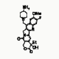 CCC1(O)C(=O)OCc2c1cc1n(c2=O)Cc2c-1nc1cc(F)c(OC)cc1c2CN1CCC(N)CC1